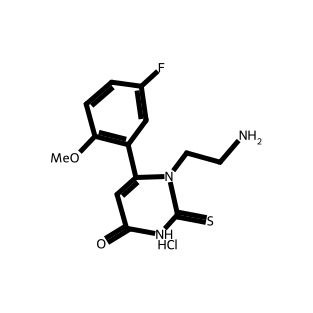 COc1ccc(F)cc1-c1cc(=O)[nH]c(=S)n1CCN.Cl